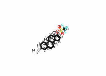 C[C@H]1CC[C@@]2(C)C(=CC[C@@H]3[C@@H]2CC[C@]2(C)C(OS(=O)(=O)C(F)(F)F)=CC[C@@H]32)C1